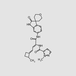 CC1CC/C1=C\C=C(NC(=O)c1ccnn1C)C(=O)Nc1ccc2c(c1)NC(=O)C21CCOCC1